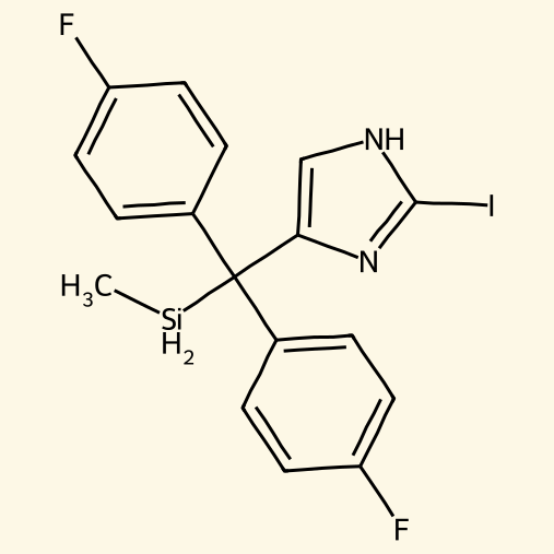 C[SiH2]C(c1ccc(F)cc1)(c1ccc(F)cc1)c1c[nH]c(I)n1